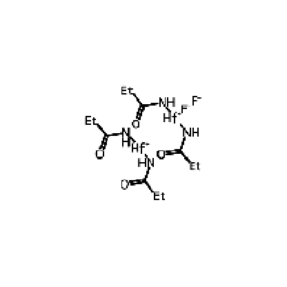 CCC(=O)[NH][Hf+][NH]C(=O)CC.CCC(=O)[NH][Hf+][NH]C(=O)CC.[F-].[F-]